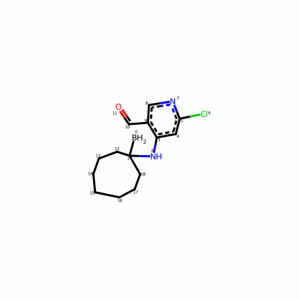 BC1(Nc2cc(Cl)ncc2C=O)CCCCCCC1